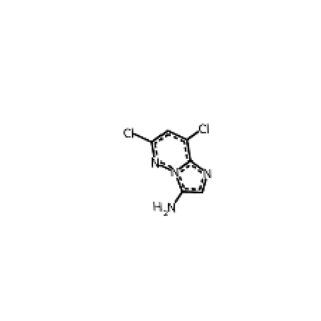 Nc1cnc2c(Cl)cc(Cl)nn12